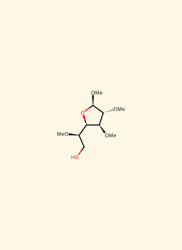 CO[C@@H]1O[C@H]([C@@H](CO)OC)[C@H](OC)[C@H]1OC